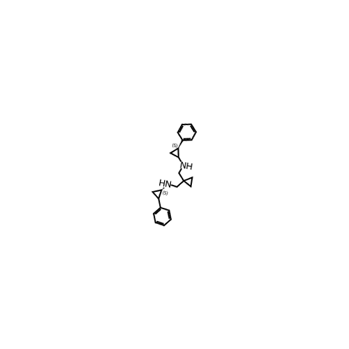 c1ccc(C2C[C@@H]2NCC2(CNC3C[C@H]3c3ccccc3)CC2)cc1